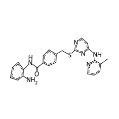 Cc1cccnc1Nc1ccnc(SCc2ccc(C(=O)Nc3ccccc3N)cc2)n1